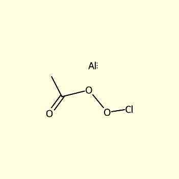 CC(=O)OOCl.[Al]